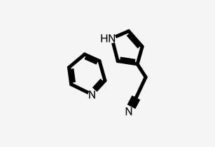 N#CCc1cc[nH]c1.c1ccncc1